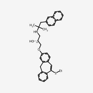 CCSC1=Cc2ccc(OC[C@H](O)CNC(C)(C)Cc3ccc4ccccc4c3)cc2Cc2ccccc21